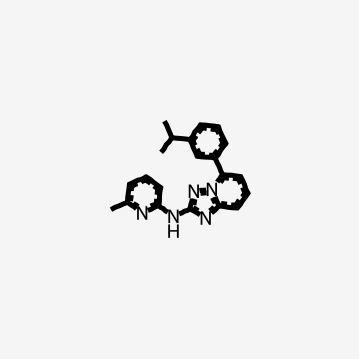 Cc1cccc(Nc2nc3cccc(-c4cccc(C(C)C)c4)n3n2)n1